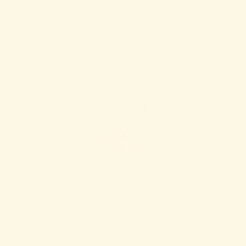 [CH2]COC(=O)c1ccc(C)cc1C